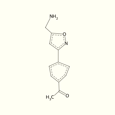 CC(=O)c1ccc(-c2cc(CN)on2)cc1